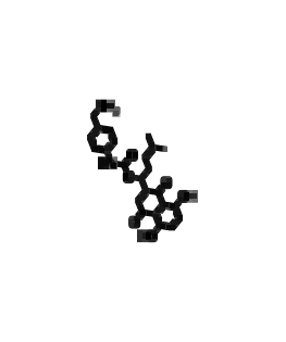 CC(C)=CCC(OC(=O)Nc1ccc(CN)cc1)C1=CC(=O)c2c(O)ccc(O)c2C1=O